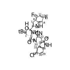 CC(C)(C)C[C@H](NC(O)c1cc2c(F)cc(F)cc2[nH]1)C(=O)N1C[C@]2(C[C@H]1C#N)C(=O)Nc1ccc(Cl)cc12